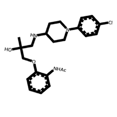 CC(=O)Nc1ccccc1OCC(C)(O)CNC1CCN(c2ccc(Cl)cc2)CC1